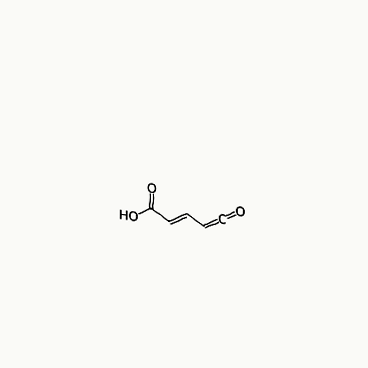 O=C=CC=CC(=O)O